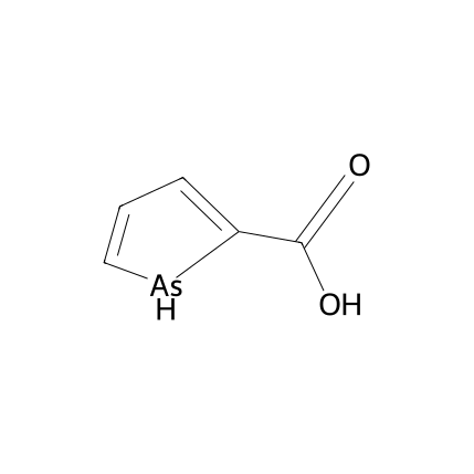 O=C(O)C1=CC=C[AsH]1